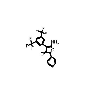 NC1=C(c2cc(C(F)(F)F)cc(C(F)(F)F)c2)C(=O)C(c2ccccc2)O1